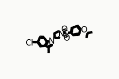 Cc1cn(C2CCN(S(=O)(=O)c3ccc(OC(C)C)cc3)C2)c2ccc(Cl)cc12